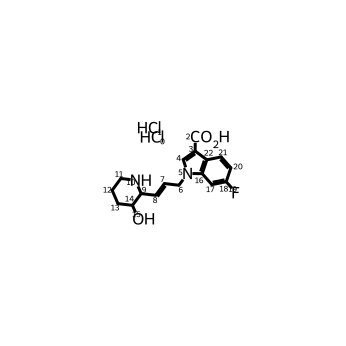 Cl.Cl.O=C(O)c1cn(C/C=C/C2NCCCC2O)c2cc(F)ccc12